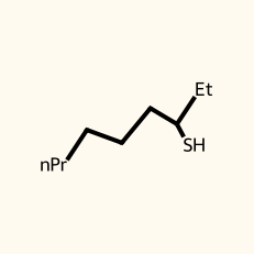 CCCCCCC(S)CC